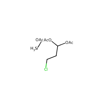 CC(=O)OC(CCCl)OC(C)=O.CC(=O)O[SiH3]